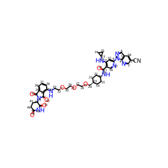 N#Cc1cnc2c(cnn2-c2cc(NC3CC3)c(C(=O)N[C@H]3CC[C@H](COCCOCCOCCNc4cccc5c4C(=O)N(C4CCC(=O)NC4=O)C5=O)CC3)cn2)c1